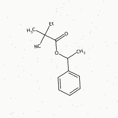 CCC(C)(C#N)C(=O)OC(C)c1ccccc1